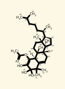 CC(=O)OC1=C(O)C(O)(O)C(C)(C)C2=CC[C@@H]3[C@@](C)(CC[C@]4(C)[C@@H]([C@H](C)CCCC(C)C)CC[C@@]34C)[C@@H]21